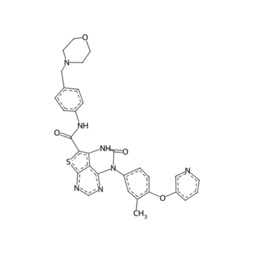 Cc1cc(N2C(=O)Nc3c(C(=O)Nc4ccc(CN5CCOCC5)cc4)sc4ncnc2c34)ccc1Oc1cccnc1